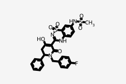 CS(=O)(=O)Nc1ccc2c(c1)S(=O)(=O)N=C(C1=C(O)CC(c3ccccc3)N(Cc3ccc(F)cc3)C1=O)N2